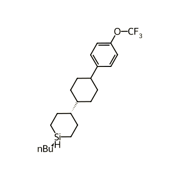 CCCC[Si@H]1CC[C@H](C2CCC(c3ccc(OC(F)(F)F)cc3)CC2)CC1